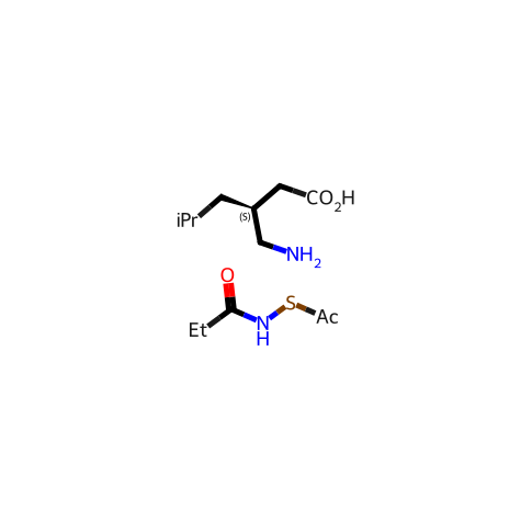 CC(C)C[C@H](CN)CC(=O)O.CCC(=O)NSC(C)=O